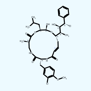 COc1ccc(C[C@H]2NC(=O)/C=C/C[C@@H]([C@H](C)[C@@H](O)[C@@H](Cl)c3ccccc3)O[C@H](O)[C@H](CC(C)C)OC(=O)[C@H](C)CNC2=O)cc1Cl